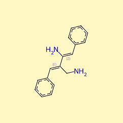 NCC(=C\c1ccccc1)/C(N)=C/c1ccccc1